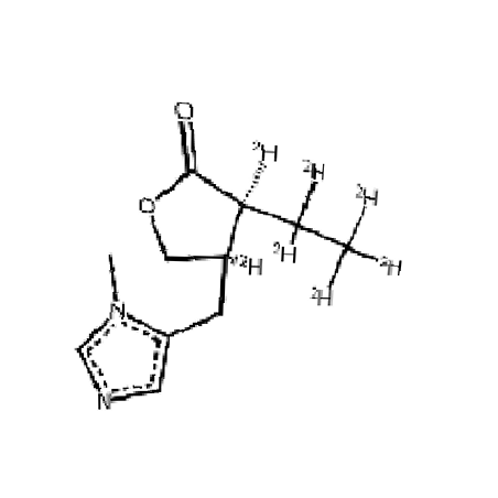 [2H]C([2H])([2H])C([2H])([2H])[C@]1([2H])C(=O)OC[C@]1([2H])Cc1cncn1C